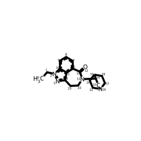 CCn1nc2c3c(cccc31)C(=O)N(C1CN3CCC1CC3)CC2